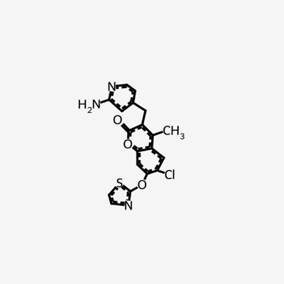 Cc1c(Cc2ccnc(N)c2)c(=O)oc2cc(Oc3nccs3)c(Cl)cc12